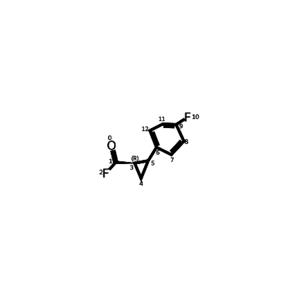 O=C(F)[C@@H]1CC1c1ccc(F)cc1